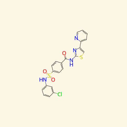 O=C(Nc1nc(-c2ccccn2)cs1)c1ccc(S(=O)(=O)Nc2cccc(Cl)c2)cc1